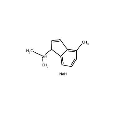 Cc1cccc2c1C=CC2[SiH](C)C.[NaH]